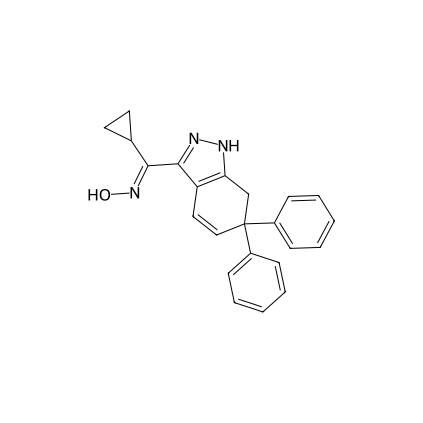 ON=C(c1n[nH]c2c1C=CC(c1ccccc1)(c1ccccc1)C2)C1CC1